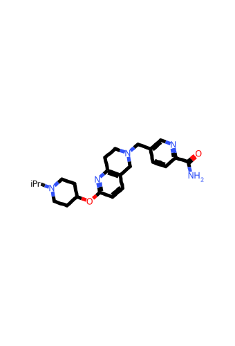 CC(C)N1CCC(Oc2ccc3c(n2)CCN(Cc2ccc(C(N)=O)nc2)C3)CC1